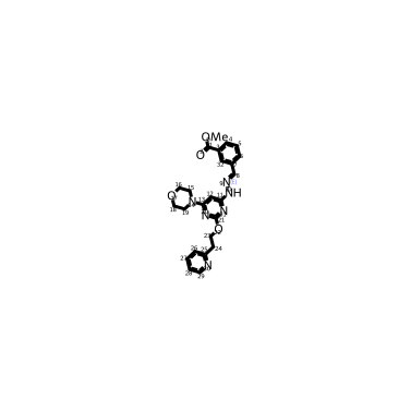 COC(=O)c1cccc(/C=N/Nc2cc(N3CCOCC3)nc(OCCc3ccccn3)n2)c1